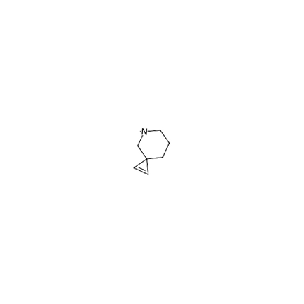 C1=CC12CCC[N]C2